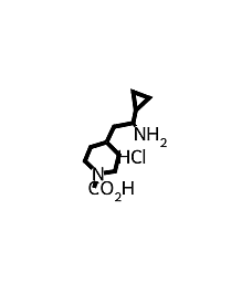 Cl.N[C@@H](CC1CCN(C(=O)O)CC1)C1CC1